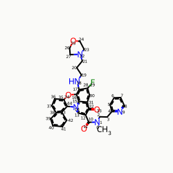 CN(CCc1ccccn1)C(=O)c1cn2c3c(c(NCCCN4CCOCC4)c(F)cc3c1=O)Oc1ccc3ccccc3c1-2